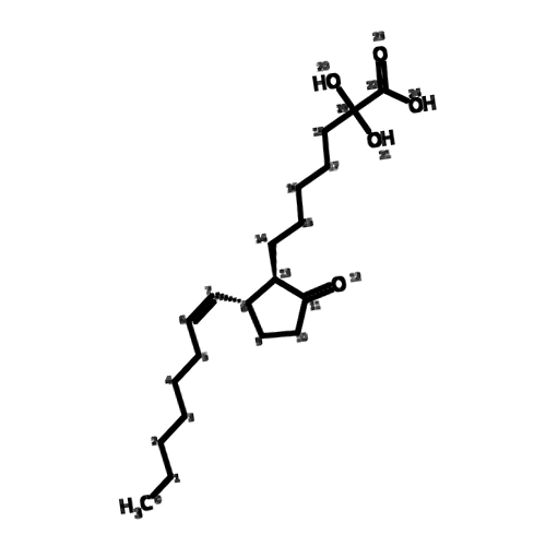 CCCCCC/C=C\[C@H]1CCC(=O)[C@@H]1CCCCCC(O)(O)C(=O)O